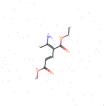 CCOC(=O)C(C=CC(=O)OC)=C(C)N